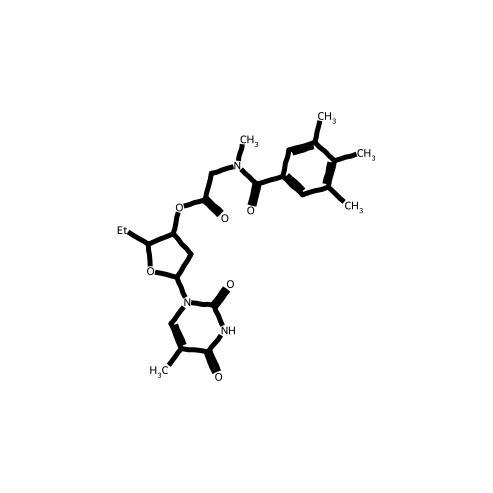 CCC1OC(n2cc(C)c(=O)[nH]c2=O)CC1OC(=O)CN(C)C(=O)c1cc(C)c(C)c(C)c1